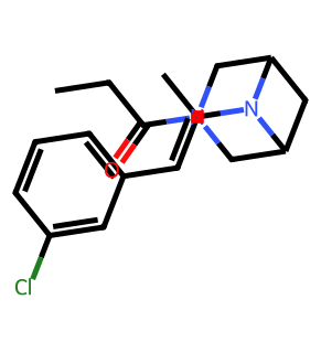 CCC(=O)N1CC2CC(C1)N2C(C)=Cc1cccc(Cl)c1